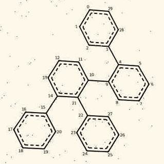 c1ccc(-c2ccccc2-c2cccc(-c3ccccc3)c2-c2ccccc2)cc1